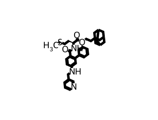 CSCC[C@H](NC(=O)c1ccc(NCc2cccnc2)cc1-c1ccccc1)C(=O)OCCC12CC3CC(CC(C3)C1)C2